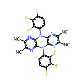 [C-]#[N+]c1nc2c(nc1[N+]#[C-])N(c1ccc(F)c(F)c1F)c1nc(C#N)c(C#N)nc1N2c1ccc(F)c(F)c1F